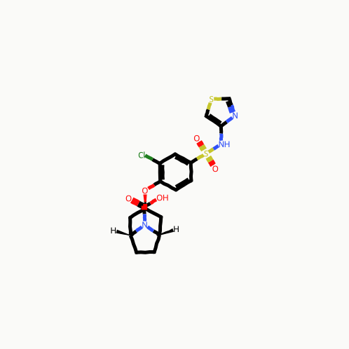 O=C(O)N1[C@@H]2CC[C@H]1C[C@H](Oc1ccc(S(=O)(=O)Nc3cscn3)cc1Cl)C2